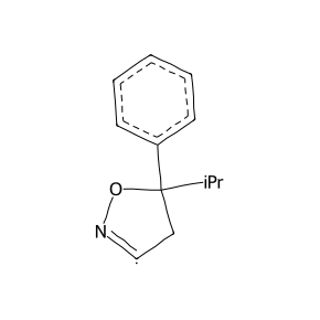 CC(C)C1(c2ccccc2)C[C]=NO1